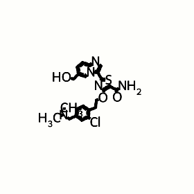 CN(C)Cc1ccc(CCOc2nc(-c3cnc4ccc(CO)cn34)sc2C(N)=O)c(Cl)c1